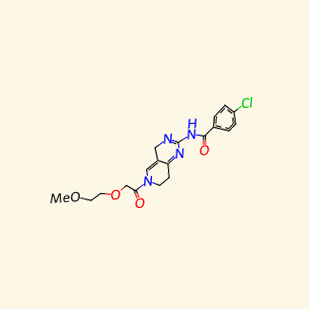 COCCOCC(=O)N1C=C2CN=C(NC(=O)c3ccc(Cl)cc3)N=C2CC1